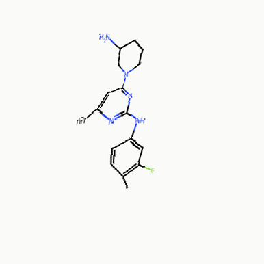 CCCc1cc(N2CCCC(N)C2)nc(Nc2ccc(C)c(F)c2)n1